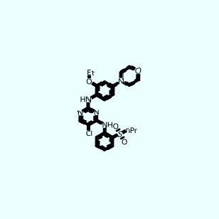 CCCS(=O)(=O)c1ccccc1Nc1nc(Nc2ccc(N3CCOCC3)cc2OCC)ncc1Cl